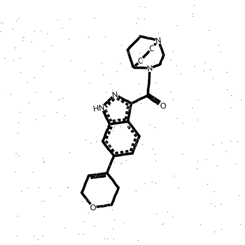 O=C(c1n[nH]c2cc(C3=CCOCC3)ccc12)N1CCN2CCC1CC2